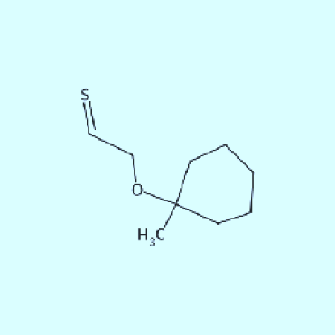 CC1(OCC=S)CCCCC1